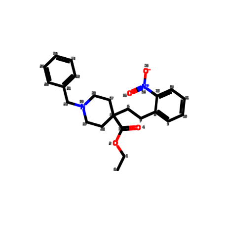 CCOC(=O)C1(CCc2ccccc2[N+](=O)[O-])CCN(Cc2ccccc2)CC1